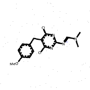 COc1ccc(Cc2c(Cl)nc(/N=C/N(C)C)nc2Cl)cc1